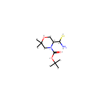 CC(C)(C)OC(=O)N1CC(C)(C)OCC1C(N)S